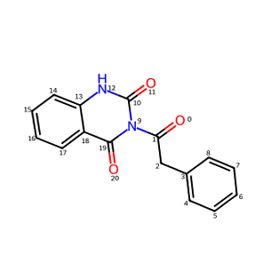 O=C(Cc1ccccc1)n1c(=O)[nH]c2ccccc2c1=O